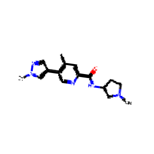 CCn1cc(-c2cnc(C(=O)NC3CCN(C#N)C3)cc2C)cn1